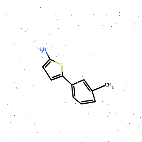 Cc1cccc(-c2ccc(N)s2)c1